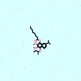 CCCCCCCC(=O)Oc1c(OC)c(OC)c(OC(C)CC)c2ccc(C(C)C)cc12